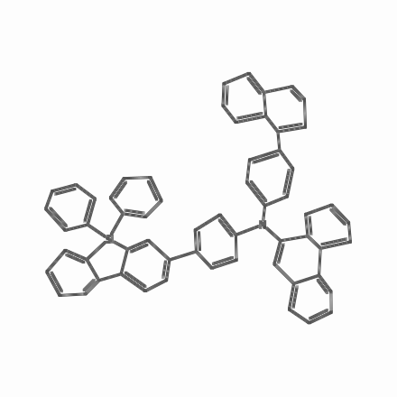 c1ccc([Si]2(c3ccccc3)c3ccccc3-c3ccc(-c4ccc(N(c5ccc(-c6cccc7ccccc67)cc5)c5cc6ccccc6c6ccccc56)cc4)cc32)cc1